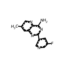 Cc1cnc2c(N)nc(-c3cncc(F)c3)nc2c1